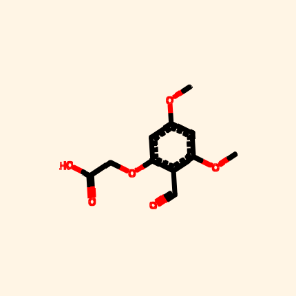 COc1cc(OC)c(C=O)c(OCC(=O)O)c1